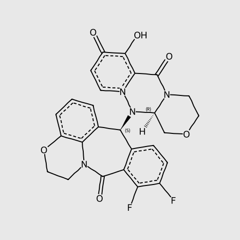 O=C1c2c(ccc(F)c2F)[C@H](N2[C@@H]3COCCN3C(=O)c3c(O)c(=O)ccn32)c2cccc3c2N1CCO3